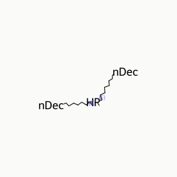 CCCCCCCCCCCCCCCC/C=C/[PH](C)(C)/C=C/CCCCCCCCCCCCCCCC